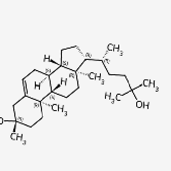 C[C@H](CCC(C)(C)O)[C@H]1CC[C@H]2[C@@H]3CC=C4C[C@@](C)(O)CC[C@]4(C)[C@H]3CC[C@]12C